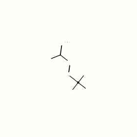 COC(C)O[SiH2]C(C)(C)C